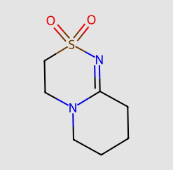 O=S1(=O)CCN2CCCCC2=N1